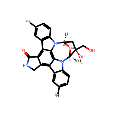 [2H]c1ccc2c(c1)c1c3c(c4c5cc([2H])ccc5n5c4c1n2[C@H]1C[C@](O)(CO)[C@]5(C)O1)CNC3=O